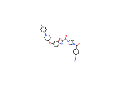 Cc1ccc(N2CCC(Oc3ccc4nc(C(=O)N5CC6CC5CN6C(=O)c5ccc(C#N)cc5)oc4c3)CC2)cc1